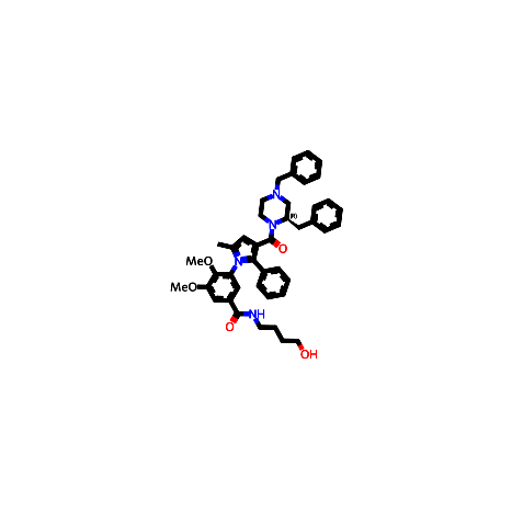 COc1cc(C(=O)NCCCCO)cc(-n2c(C)cc(C(=O)N3CCN(Cc4ccccc4)C[C@H]3Cc3ccccc3)c2-c2ccccc2)c1OC